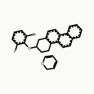 C1=CCOC=C1.Fc1cccc(Br)c1OC1CCc2c(ccc3c2ccc2ccccc23)C1